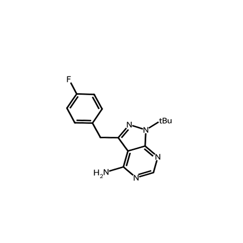 CC(C)(C)n1nc(Cc2ccc(F)cc2)c2c(N)ncnc21